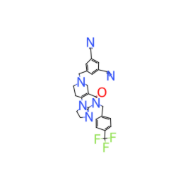 N#Cc1cc(C#N)cc(CN2CCC3=C(C2)C(=O)N(Cc2ccc(C(F)(F)F)cc2)C2=NCCN23)c1